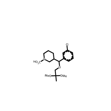 COC(C)(COC(c1cccc(Cl)c1)C1CCCN(C(=O)O)C1)OC